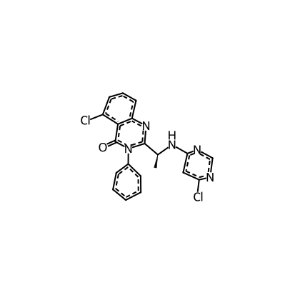 C[C@H](Nc1cc(Cl)ncn1)c1nc2cccc(Cl)c2c(=O)n1-c1ccccc1